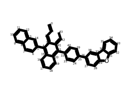 C=C/C=c1/c(-c2ccc3ccccc3c2)c2ccccc2c(-c2ccc(-c3ccc4oc5ccccc5c4c3)cc2)/c1=C/C